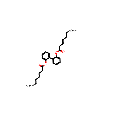 CCCCCCCCCCCCCCCC(=O)Oc1ccccc1-c1ccccc1OC(=O)CCCCCCCCCCCCCCC